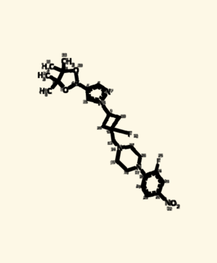 CC1(C)OB(c2cnn(C3CC(F)(CN4CCN(c5ccc([N+](=O)[O-])cc5F)CC4)C3)c2)OC1(C)C